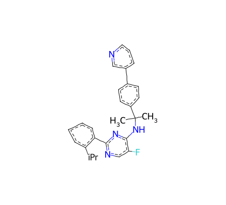 CC(C)c1ccccc1-c1ncc(F)c(NC(C)(C)c2ccc(-c3cccnc3)cc2)n1